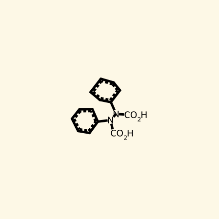 O=C(O)N(c1ccccc1)N(C(=O)O)c1ccccc1